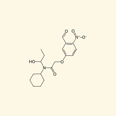 CCC(O)N(C(=O)COc1ccc([N+](=O)[O-])c(C=O)c1)C1CCCCC1